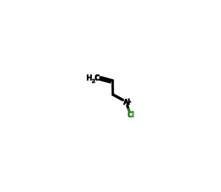 C=C[CH2][Al][Cl]